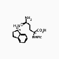 CC(=O)N[C@@H](CCC(N)=O)C(=O)O.N[C@H]1CCc2ccccc21